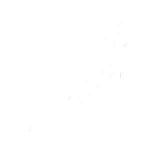 C=Cc1c(F)cc(OC(F)(F)c2c(F)cc(-c3ccc(-c4ccc(C5CCC(CC/C=C/C)CC5)cc4F)cc3F)cc2F)cc1F